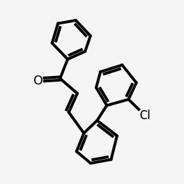 O=C(C=Cc1ccccc1-c1ccccc1Cl)c1ccccc1